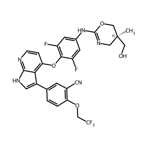 C[C@]1(CO)CN=C(Nc2cc(F)c(Oc3ccnc4[nH]cc(-c5ccc(OCC(F)(F)F)c(C#N)c5)c34)c(F)c2)OC1